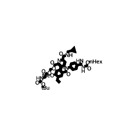 C=Cc1cc(C(=O)Nc2ccc(C(=N)NC(=O)OCCCCCC)cc2)c(-c2ccc(C(=O)NCC3CC3)nc2C(=O)OCOC(=O)CNC(=O)OC(C)(C)C)cc1OC